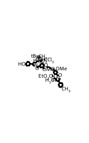 CCOC(=O)N1c2cc(OCCCOc3cc4c(cc3OC)C(=O)N3C=C(c5ccc(O)cc5)C[C@H]3[C@H](O[Si](C)(C)C(C)(C)C)N4C(=O)OCC(Cl)(Cl)Cl)c(OC)cc2C(=O)N2C=C(c3ccc(C)cc3)C[C@H]2[C@@H]1C